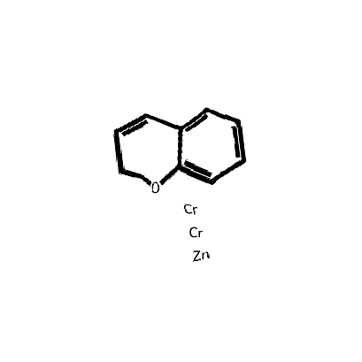 C1=Cc2ccccc2OC1.[Cr].[Cr].[Zn]